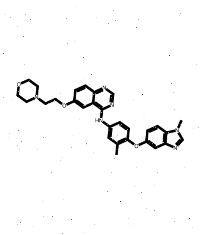 Cc1cc(Nc2ncnc3ccc(OCCN4CCOCC4)cc23)ccc1Oc1ccc2c(c1)ncn2C